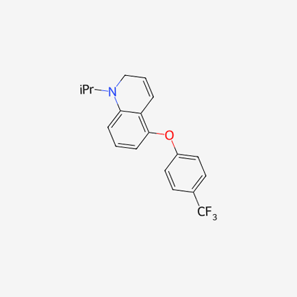 CC(C)N1CC=Cc2c(Oc3ccc(C(F)(F)F)cc3)cccc21